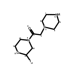 O=C(CN1CCNCC1)N1CCOC(I)C1